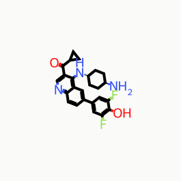 N[C@H]1CC[C@H](Nc2c(C(=O)C3CC3)cnc3ccc(-c4cc(F)c(O)c(F)c4)cc23)CC1